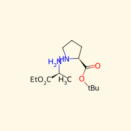 CC(C)(C)OC(=O)[C@@H]1CCCN1.CCOC(=O)[C@H](C)N